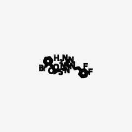 Nc1ncn(CCc2cccc(F)c2F)c2nc(SC3=COC(c4ccccc4Br)O3)nc1-2